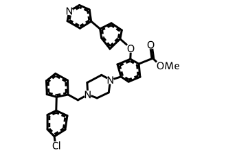 COC(=O)c1ccc(N2CCN(Cc3ccccc3-c3ccc(Cl)cc3)CC2)cc1Oc1ccc(-c2ccncc2)cc1